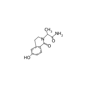 CC(C(N)=O)N1CCc2cc(O)ccc2C1=O